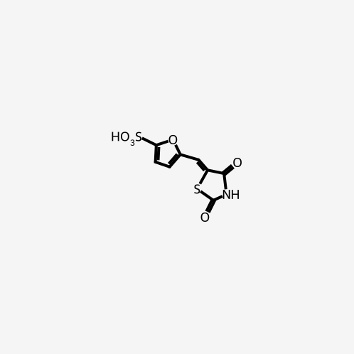 O=C1NC(=O)C(=Cc2ccc(S(=O)(=O)O)o2)S1